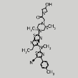 CCc1nc2sc(N3C[C@H](C)N(CC(=O)N4CC(O)C4)C[C@H]3C)nn2c1N(C)c1nc(-c2ccc(C)cc2)c(C#N)s1